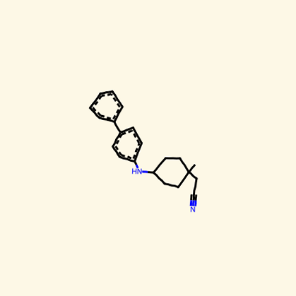 CC1(CC#N)CCC(Nc2ccc(-c3ccccc3)cc2)CC1